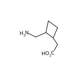 NCC1CCC1CC(=O)O